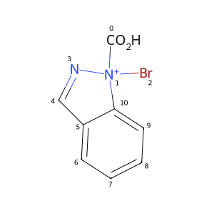 O=C(O)[N+]1(Br)N=Cc2ccccc21